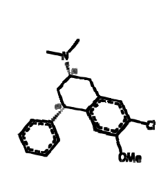 COc1cc2c(cc1Cl)C[C@@H](N(C)C)C[C@H]2c1ccccc1